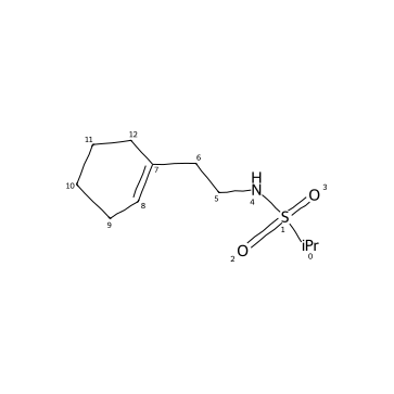 CC(C)S(=O)(=O)NCCC1=CCCCC1